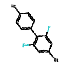 CCc1ccc(-c2c(F)cc(CC)cc2F)cc1